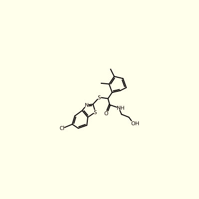 Cc1cccc(C(Sc2nc3cc(Cl)ccc3s2)C(=O)NCCO)c1C